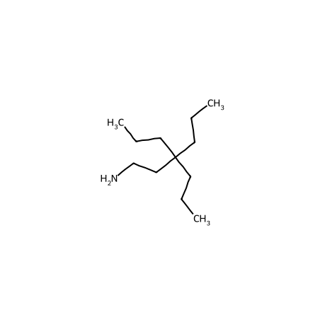 CCCC(CCC)(CCC)CCN